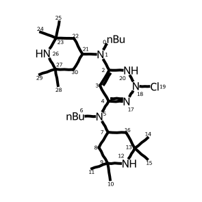 CCCCN(C1=CC(N(CCCC)C2CC(C)(C)NC(C)(C)C2)=NN(Cl)N1)C1CC(C)(C)NC(C)(C)C1